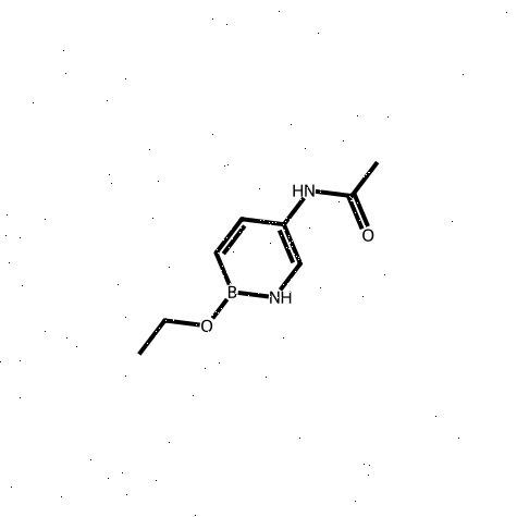 CCOB1C=CC(NC(C)=O)=CN1